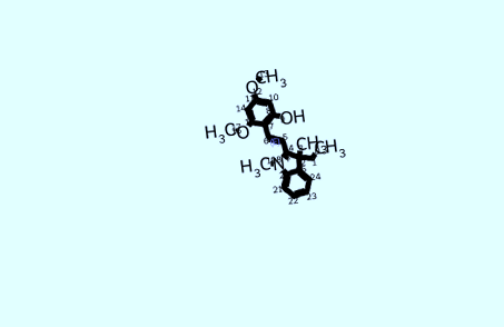 CCC1(C)C(/C=C/c2c(O)cc(OC)cc2OC)=[N+](C)c2ccccc21